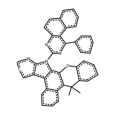 CC1(C)c2ccccc2Oc2c1c1ccccc1c1c3cccnc3n(-c3nc(-c4ccccc4)c4c(ccc5ccccc54)n3)c21